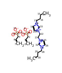 C=CCS(=O)(=O)[O-].C=CCS(=O)(=O)[O-].CCCCn1cc[n+](CC[n+]2ccn(CCCC)c2)c1